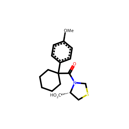 COc1ccc(C2(C(=O)N3CSC[C@@H]3C(=O)O)CCCCC2)cc1